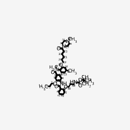 CCCOc1cc(C(=O)N(C)c2ccc(C)cc2OCCCCCC(=O)N2CCN(C)CC2)ccc1NC(=O)c1ccccc1OCCCNC(=O)OC(C)(C)C